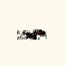 COCOc1cc(OC)cc(/C=C/C[C@@H]2OC(C)(C)O[C@@H]2C(/C=C\CC(CC(C)(C)[Si](O)(c2ccccc2)c2ccccc2)C(F)(F)F)OC(=O)c2ccccc2)c1C(=O)OCC[Si](C)(C)C